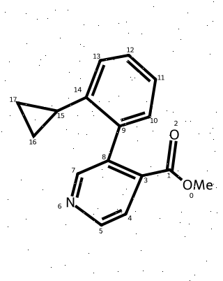 COC(=O)c1ccncc1-c1ccccc1C1CC1